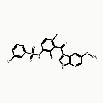 COc1cnc2[nH]cc(C(=O)c3c(F)ccc(NS(=O)(=O)c4cccc(C)c4)c3F)c2c1